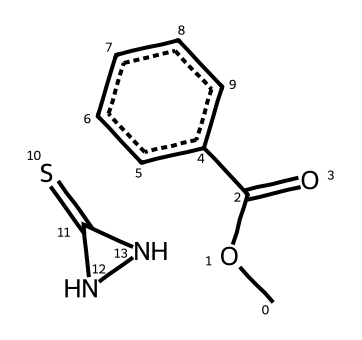 COC(=O)c1ccccc1.S=C1NN1